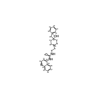 O=C(NCCN1CCC(O)(Cc2ccccc2)CC1)Nc1ccnc2ccccc12